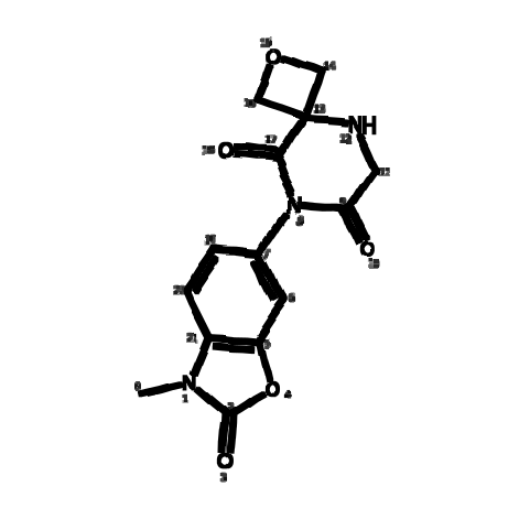 Cn1c(=O)oc2cc(N3C(=O)CNC4(COC4)C3=O)ccc21